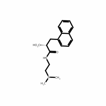 CN(C)CCNC(=O)[C@@H](Cc1cccc2ccccc12)C(=O)O